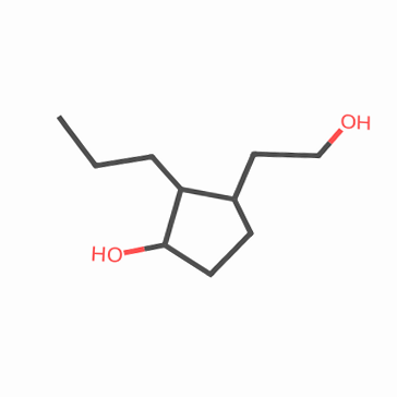 CCCC1C(O)CCC1CCO